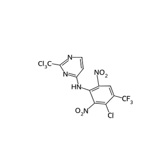 O=[N+]([O-])c1cc(C(F)(F)F)c(Cl)c([N+](=O)[O-])c1Nc1ccnc(C(Cl)(Cl)Cl)n1